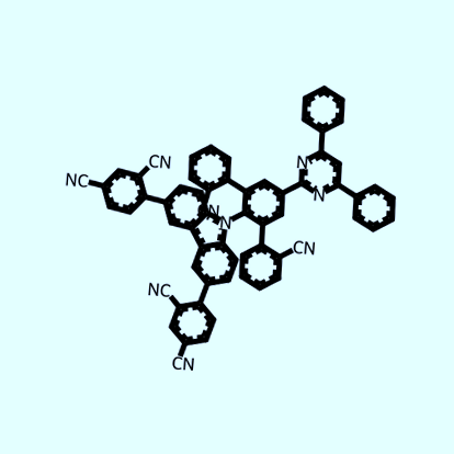 N#Cc1ccc(-c2ccc3c(c2)c2cc(-c4ccc(C#N)cc4C#N)ccc2n3-c2c(-c3ccccc3C#N)cc(-c3nc(-c4ccccc4)cc(-c4ccccc4)n3)cc2-c2ccccc2C#N)c(C#N)c1